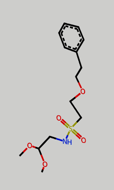 COC(CNS(=O)(=O)CCOCCc1ccccc1)OC